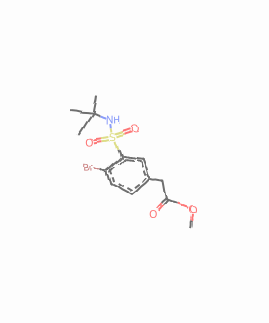 COC(=O)Cc1ccc(Br)c(S(=O)(=O)NC(C)(C)C)c1